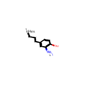 CCCCCCCCCc1ccc(O)c(N)c1